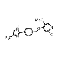 COc1cnc(Cl)cc1OCc1ccc(-c2nc(C(F)(F)F)cn2C)cc1